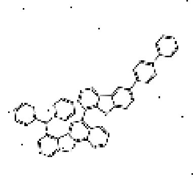 c1ccc(-c2ccc(-c3ccc4sc5c(-c6cc7c(oc8cccc(N(c9ccccc9)c9ccccc9)c87)c7ccccc67)cccc5c4c3)cc2)cc1